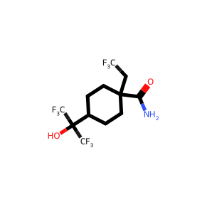 NC(=O)C1(CC(F)(F)F)CCC(C(O)(C(F)(F)F)C(F)(F)F)CC1